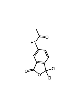 CC(=O)Nc1ccc2c(c1)C(=O)OC2(Cl)Cl